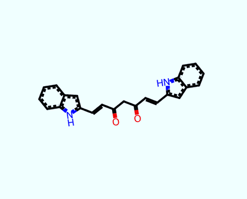 O=C(C=Cc1cc2ccccc2[nH]1)CC(=O)C=Cc1cc2ccccc2[nH]1